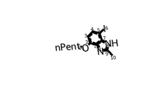 CCCCCOc1ccc(I)c2[nH]c(C)nc12